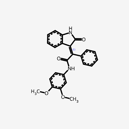 COc1ccc(NC(=O)/C(=C2/C(=O)Nc3ccccc32)c2ccccc2)cc1OC